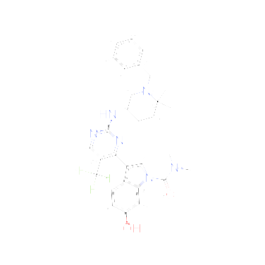 CN(C)C(=O)n1cc(-c2nc(N[C@H]3CCC(C)(C)N(Cc4ccccc4)C3)ncc2C(F)(F)F)c2ccc(O)cc21